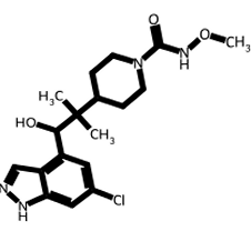 CONC(=O)N1CCC(C(C)(C)C(O)c2cc(Cl)cc3[nH]ncc23)CC1